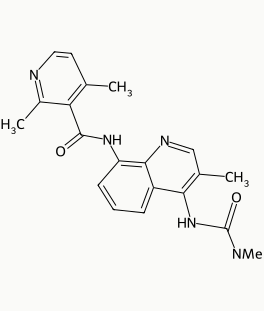 CNC(=O)Nc1c(C)cnc2c(NC(=O)c3c(C)ccnc3C)cccc12